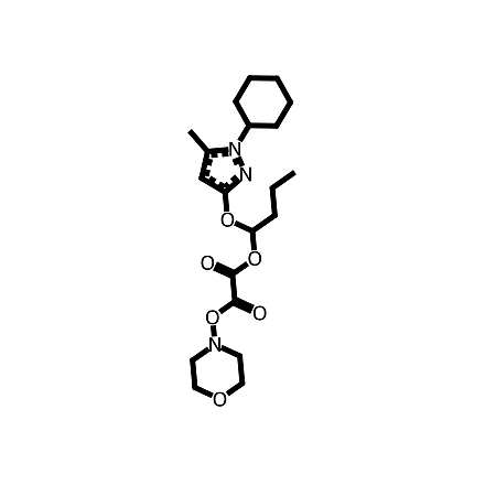 CCCC(OC(=O)C(=O)ON1CCOCC1)Oc1cc(C)n(C2CCCCC2)n1